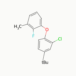 Cc1cccc(Oc2ccc(C(C)(C)C)cc2Cl)c1F